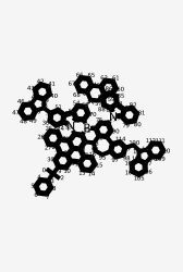 CC(C)(c1ccccc1)c1cc2c3ccccc3c3c4c5c(c6c7ccccc7c(c1)c2c36)-n1c2ccc(C3c6ccccc6-c6ccccc63)cc2c2cc([C@H]3Cc6ccccc6-c6ccccc63)cc(c21)B5c1cc(-n2c3ccccc3c3ccccc32)cc2c1C4CCc1ccc(CC3c4ccccc4-c4ccccc43)cc1-2